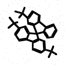 CC(C)(C)c1ccc2c(c1)C1(c3ccccc3-2)c2cc(C(C)(C)C)ccc2-c2ccc(C(C)(C)C)cc21